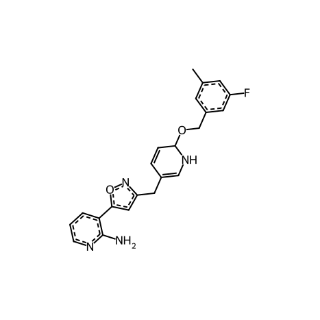 Cc1cc(F)cc(COC2C=CC(Cc3cc(-c4cccnc4N)on3)=CN2)c1